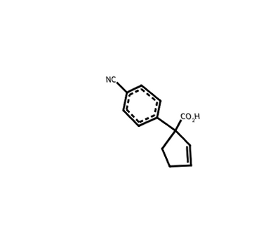 N#Cc1ccc(C2(C(=O)O)C=CCC2)cc1